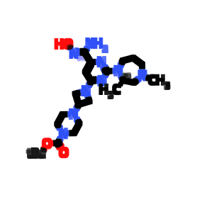 C[C@H]1CN(C)CCCN1c1nc(/C(N)=N/O)cc(N2CC(N3CCN(C(=O)OC(C)(C)C)CC3)C2)n1